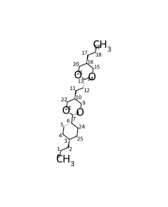 CCC[C@H]1CC[C@H]([C@H]2OC[C@H](CC[C@H]3OC[C@H](CCC)CO3)CO2)CC1